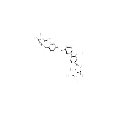 Cc1cc(C(=O)N[C@H](C(N)=O)[C@@H](C)O)ccc1-c1cccc(COc2ccc(Cn3oc(=O)[nH]c3=O)cc2)c1